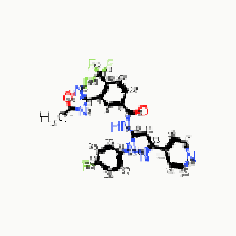 Cc1nc(-c2cc(C(=O)Nc3cc(-c4ccncc4)nn3-c3ccc(F)cc3)ccc2C(F)(F)F)no1